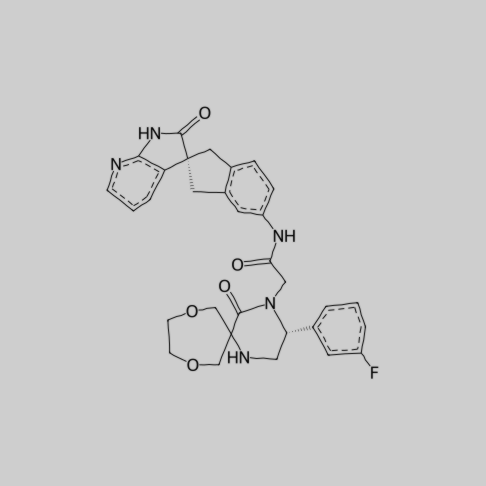 O=C(CN1C(=O)C2(COCCOC2)NC[C@H]1c1cccc(F)c1)Nc1ccc2c(c1)C[C@@]1(C2)C(=O)Nc2ncccc21